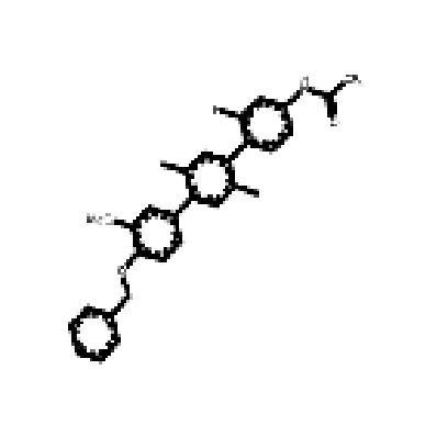 COc1cc(-c2cc(C)c(-c3ccc(NC(=O)C(F)(F)F)cc3F)cc2C)ccc1OCc1ccccc1